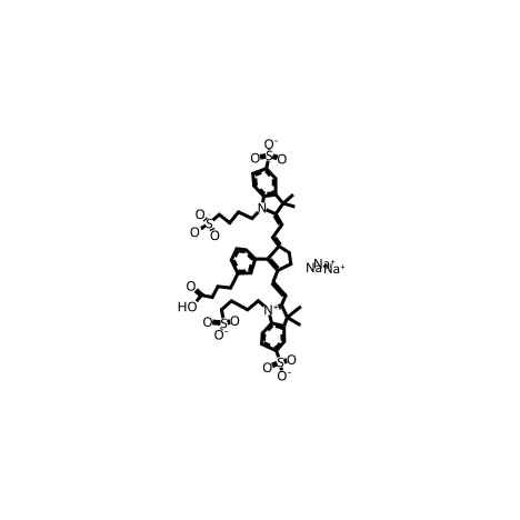 CC1(C)C(/C=C/C2=C(c3cccc(CCCC(=O)O)c3)C(=C/C=C3\N(CCCCS(=O)(=O)[O-])c4ccc(S(=O)(=O)[O-])cc4C3(C)C)/CC2)=[N+](CCCCS(=O)(=O)[O-])c2ccc(S(=O)(=O)[O-])cc21.[Na+].[Na+].[Na+]